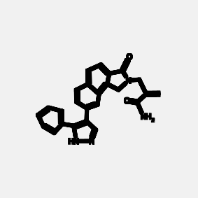 C=C(CN1Cc2c(ccc3ccc(-c4cn[nH]c4-c4ccccc4)cc23)C1=O)C(N)=O